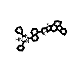 c1ccc(C2=NC(c3cccc4c(-c5ccc6c(c5)sc5c7cccc8c7c(cc65)-c5ccccc5-8)cccc34)=NC(c3ccccc3)N2)cc1